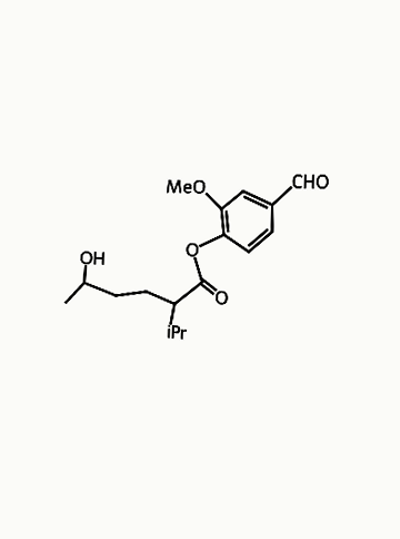 COc1cc(C=O)ccc1OC(=O)C(CCC(C)O)C(C)C